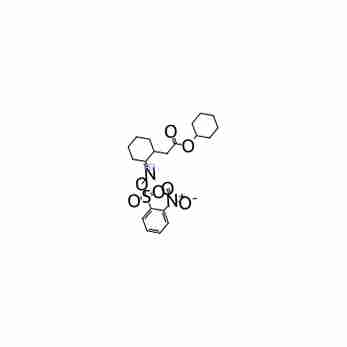 O=C(CC1CCCC/C1=N\OS(=O)(=O)c1ccccc1[N+](=O)[O-])OC1CCCCC1